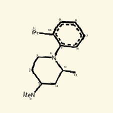 CNC1CCN(c2ccccc2C(C)C)C(C)C1